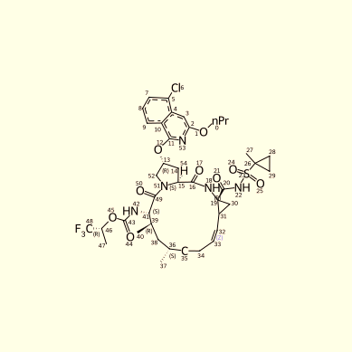 CCCOc1cc2c(Cl)cccc2c(O[C@@H]2C[C@H]3C(=O)N[C@]4(C(=O)NS(=O)(=O)C5(C)CC5)CC4/C=C\CC[C@H](C)C[C@@H](C)[C@H](NC(=O)O[C@H](C)C(F)(F)F)C(=O)N3C2)n1